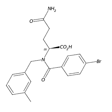 Cc1cccc(CN(C(=O)c2ccc(Br)cc2)[C@@H](CCC(N)=O)C(=O)O)c1